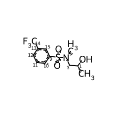 C[C@H](O)CN(C)S(=O)(=O)c1[c]ccc(C(F)(F)F)c1